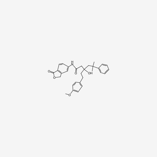 COc1ccc(CCC(O)(CC(=O)Nc2ccc3c(c2)COC3=O)CC(C)(C)c2ccccc2)cc1